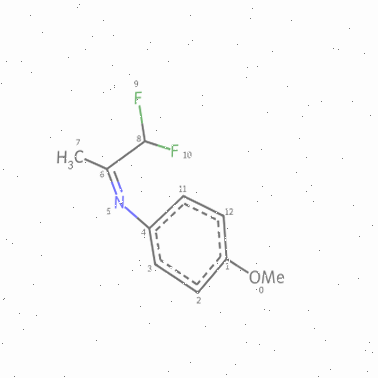 COc1ccc(N=C(C)C(F)F)cc1